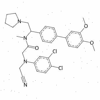 COc1ccc(-c2ccc(C(CN3CCCC3)N(C)C(=O)CN(CC#N)c3ccc(Cl)c(Cl)c3)cc2)cc1OC